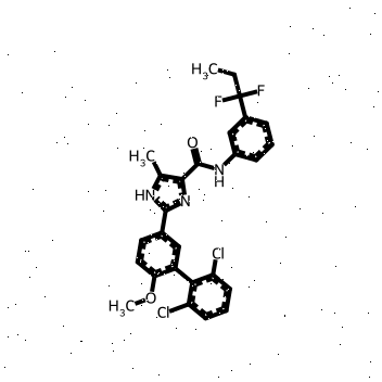 CCC(F)(F)c1cccc(NC(=O)c2nc(-c3ccc(OC)c(-c4c(Cl)cccc4Cl)c3)[nH]c2C)c1